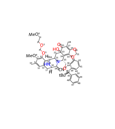 COCCOCOc1c(OC)c(C)cc2c1[C@@H]1N[C@H](C2)[C@H](C#N)N2C1CC1(O)C(=O)C(C)=C3OCOC3=C1[C@@H]2CO[Si](c1ccccc1)(c1ccccc1)C(C)(C)C